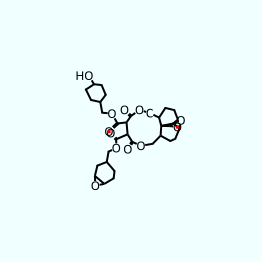 O=C(OCC1CCC(O)CC1)C1C(=O)OCC2CCC3OC3C23C(CCC2OC23)COC(=O)C1C(=O)OCC1CCC2OC2C1